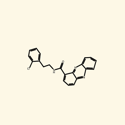 O=C(NCCc1ccccc1Cl)c1cccc2nc3ccccc3nc12